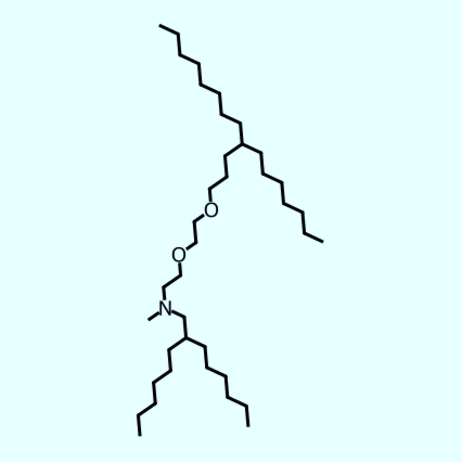 CCCCCCCCC(CCCCCCC)CCCOCCOCCN(C)CC(CCCCCC)CCCCCC